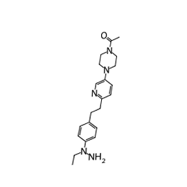 CCN(N)c1ccc(CCc2ccc(N3CCN(C(C)=O)CC3)cn2)cc1